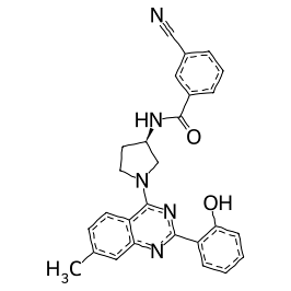 Cc1ccc2c(N3CC[C@@H](NC(=O)c4cccc(C#N)c4)C3)nc(-c3ccccc3O)nc2c1